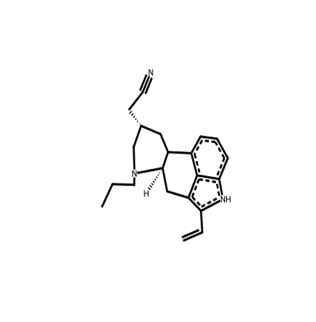 C=Cc1[nH]c2cccc3c2c1C[C@@H]1C3C[C@@H](CC#N)CN1CCC